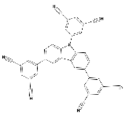 N#Cc1cc(C#N)cc(-c2ccc3c(c2)c2cc(-c4cc(C#N)cc(C#N)c4)ccc2n3-c2cc(C#N)cc(C#N)c2)c1